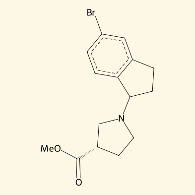 COC(=O)[C@H]1CCN(C2CCc3cc(Br)ccc32)C1